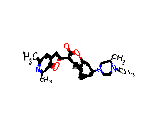 Cc1cc2cc(-c3cc4ccc(N5CCN(C)[C@H](C)C5)cc4oc3=O)oc2c(C)n1